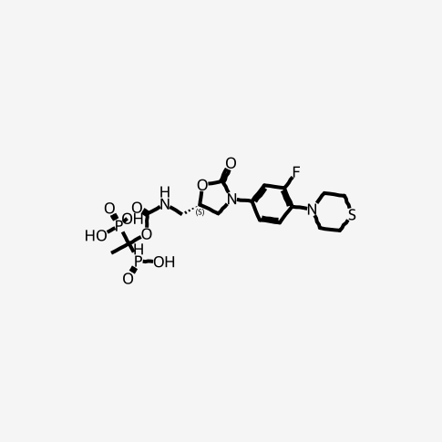 CC(OC(=O)NC[C@H]1CN(c2ccc(N3CCSCC3)c(F)c2)C(=O)O1)([PH](=O)O)P(=O)(O)O